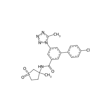 Cc1nnnn1-c1cc(C(=O)NC2(C)CCS(=O)(=O)C2)cc(-c2ccc(Cl)cc2)c1